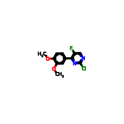 COc1ccc(-c2nc(Cl)ncc2F)cc1OC